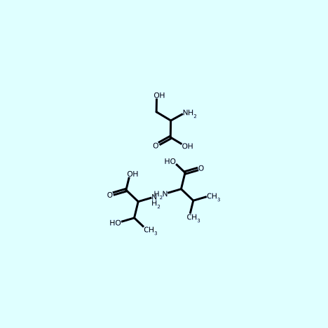 CC(C)C(N)C(=O)O.CC(O)C(N)C(=O)O.NC(CO)C(=O)O